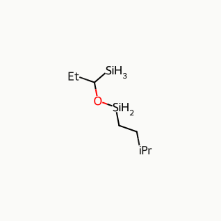 [CH2]CC([SiH3])O[SiH2]CCC(C)C